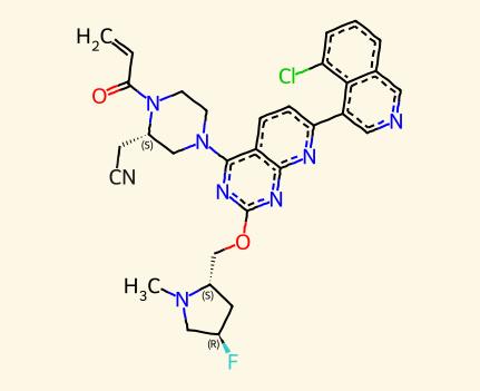 C=CC(=O)N1CCN(c2nc(OC[C@@H]3C[C@@H](F)CN3C)nc3nc(-c4cncc5cccc(Cl)c45)ccc23)C[C@@H]1CC#N